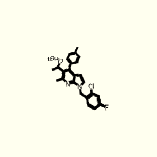 Cc1ccc(-c2c(C(C)OC(C)(C)C)c(C)nc3c2ccn3Cc2ccc(F)cc2Cl)cc1